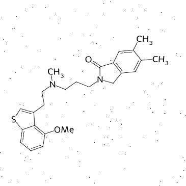 COc1cccc2scc(CCN(C)CCCN3Cc4cc(C)c(C)cc4C3=O)c12